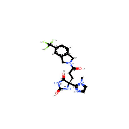 Cn1ccnc1[C@]1(CCC(=O)N2Cc3ccc(C(F)(F)F)cc3C2)NC(=O)NC1=O